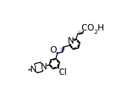 CN1CCN(c2cc(Cl)cc(C(=O)/C=C/c3cccc(/C=C/C(=O)O)n3)c2)CC1